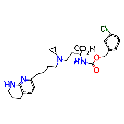 O=C(NC(CCN(CCCCc1ccc2c(n1)NCCC2)C1CC1)C(=O)O)OCc1cccc(Cl)c1